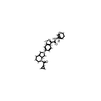 O=C(N[C@H]1CN2CCC1CC2)c1nsc2cc(N3CC4CCCN(C(=O)C5CC5)C4C3)ccc12